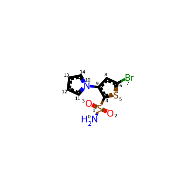 NS(=O)(=O)c1sc(Br)cc1-n1cccc1